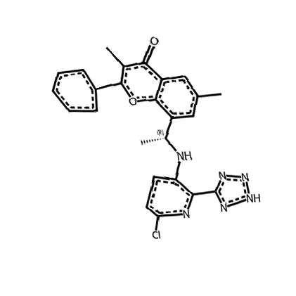 Cc1cc([C@@H](C)Nc2ccc(Cl)nc2-c2nn[nH]n2)c2oc(-c3ccccc3)c(C)c(=O)c2c1